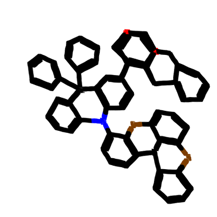 c1ccc([Si]2(c3ccccc3)c3ccccc3N(c3cccc4c3Sc3cccc5c3B4c3ccccc3S5)c3ccc(-c4cccc5c4C4c6ccccc6C5c5ccccc54)cc32)cc1